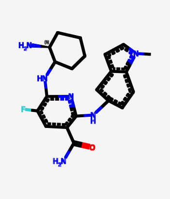 Cn1ccc2cc(Nc3nc(NC4CCCC[C@@H]4N)c(F)cc3C(N)=O)ccc21